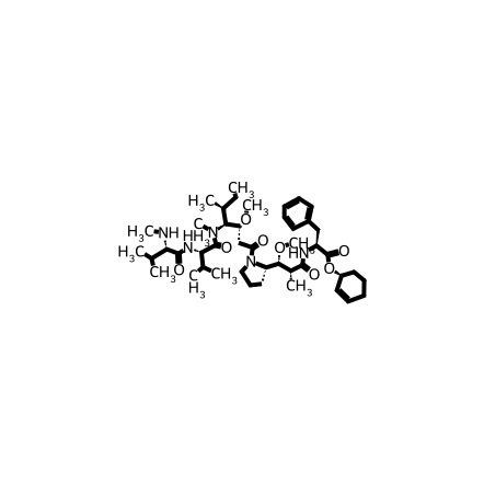 CC[C@H](C)[C@@H]([C@@H](CC(=O)N1CCC[C@H]1[C@H](OC)[C@@H](C)C(=O)N[C@@H](Cc1ccccc1)C(=O)O[C@@H]1C=CCCC1)OC)N(C)C(=O)[C@@H](NC(=O)[C@@H](NC)C(C)C)C(C)C